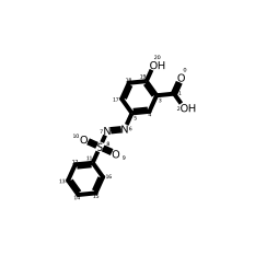 O=C(O)c1cc(N=NS(=O)(=O)c2ccccc2)ccc1O